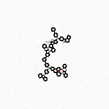 CC1(C)c2cc(N(c3ccc(-c4ccccc4)cc3)c3ccc4c(c3)oc3ccc5ccccc5c34)ccc2-c2ccc(N3c4ccccc4Sc4c3n(-c3ccccc3)c3ccc(-c5cccc(-c6ccc(N(c7ccc(-n8c9ccccc9c9ccccc98)cc7)c7ccc8c(ccc9cc(N%10c%11ccccc%11Sc%11c%10n(-c%10ccccc%10)c%10ccccc%11%10)ccc98)c7)cc6)c5)cc43)cc21